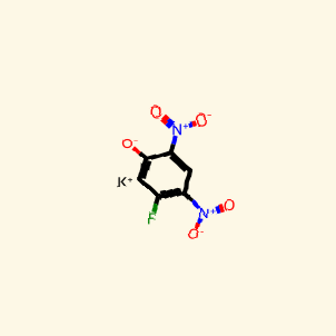 O=[N+]([O-])c1cc([N+](=O)[O-])c(F)cc1[O-].[K+]